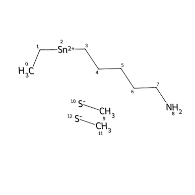 C[CH2][Sn+2][CH2]CCCCN.C[S-].C[S-]